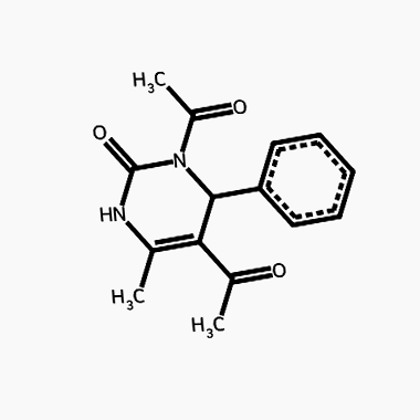 CC(=O)C1=C(C)NC(=O)N(C(C)=O)C1c1ccccc1